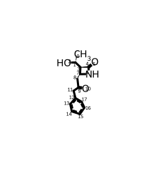 C[C@@H](O)[C@H]1C(=O)N[C@@H]1CC(=O)Cc1ccccc1